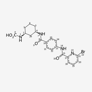 O=C(O)N[C@H]1CCC[C@@H](NC(=O)c2ccc(NC(=O)c3cccc(Br)n3)cc2)C1